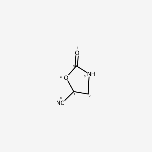 N#CC1CNC(=O)O1